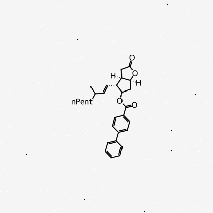 CCCCCC(C)/C=C/[C@@H]1[C@H]2CC(=O)O[C@H]2C[C@H]1OC(=O)c1ccc(-c2ccccc2)cc1